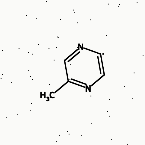 Cc1cn[c]cn1